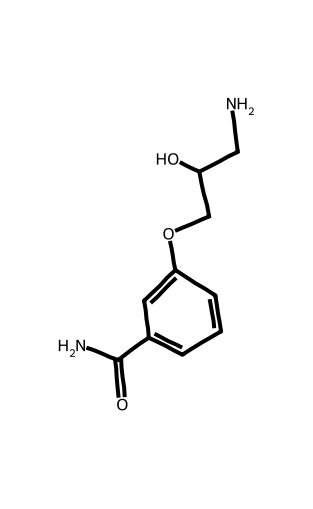 NCC(O)COc1cccc(C(N)=O)c1